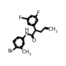 C=CCC(C(=O)Nc1ccc(Br)c(C)c1)c1cc(F)cc(F)c1